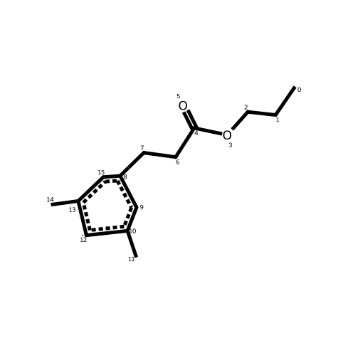 CCCOC(=O)CCc1cc(C)[c]c(C)c1